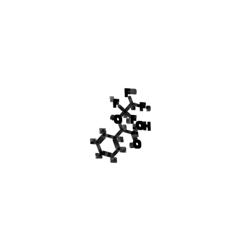 O=C(O)C(OC(F)(F)C(F)F)c1ccccc1